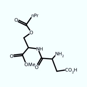 CCCC(=O)OCC(NC(=O)C(N)CC(=O)O)C(=O)OC